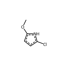 COc1ccc(Cl)[nH]1